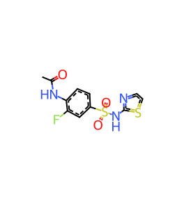 CC(=O)Nc1ccc(S(=O)(=O)Nc2nccs2)cc1F